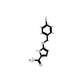 CC(=O)c1ccc(OCc2ccc(F)cc2)s1